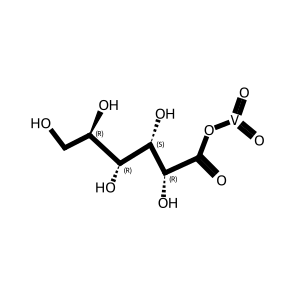 O=C([O][V](=[O])=[O])[C@H](O)[C@@H](O)[C@H](O)[C@H](O)CO